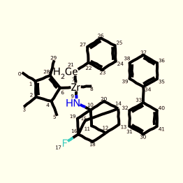 CC1=C(C)C(C)[C]([Zr]([CH3])([NH]C23CC4CC(CC(F)(C4)C2)C3)[GeH2][c]2ccccc2)=C1C.c1ccc(-c2ccccc2)cc1